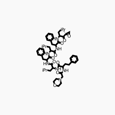 CC(C)CC(NC(=O)C(CCc1ccccc1)NC(=O)CN1CCOCC1)C(=O)NC(Cc1ccccc1)C(=O)NC(CC(C)C)C(=O)NC(Cc1ccccc1)C(=O)NC(CC(C)C)C(=O)[C@@]1(C)CO1